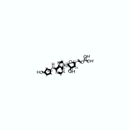 O[C@@H]1CC[C@@H](Nc2ncnc3c2ncn3[C@@H]2O[C@H](CON(O)O)C[C@H]2O)C1